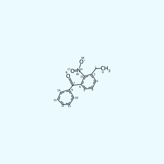 CCc1cccc(C(=O)c2ccccc2)c1[N+](=O)[O-]